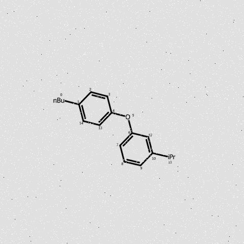 CCCCc1ccc(Oc2cccc(C(C)C)c2)cc1